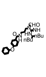 CCCCC(CCCC)NC(=N)N(C=O)CCCNC(=O)c1ccc(Oc2ccccc2)cc1